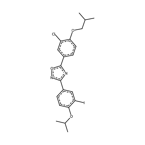 CC(C)COc1ccc(-c2nc(-c3ccc(OC(C)C)c(I)c3)no2)cc1Cl